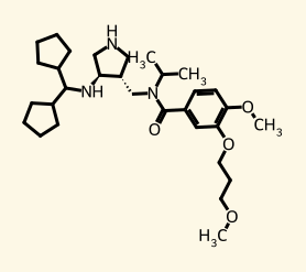 COCCCOc1cc(C(=O)N(C[C@H]2CNC[C@@H]2NC(C2CCCC2)C2CCCC2)C(C)C)ccc1OC